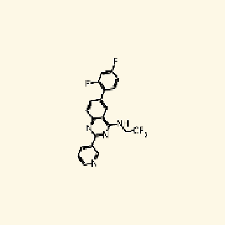 Fc1ccc(-c2ccc3nc(-c4cccnc4)nc(NCC(F)(F)F)c3c2)c(F)c1